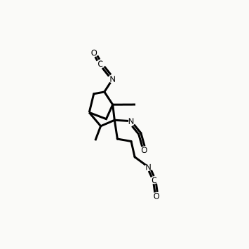 CC1C2CC(N=C=O)C(C)(C2)C1(CCCN=C=O)N=C=O